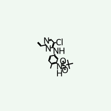 C=Cc1ncc(Cl)c(Nc2ccc(C)c(NS(=O)(=O)C(C)(C)C)c2)n1